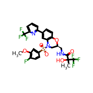 COc1cc(S(=O)(=O)N2C[C@H](CNC(=O)C(C)(O)C(F)(F)F)Oc3ccc(-c4cccc(C(F)(F)F)n4)cc32)ccc1F